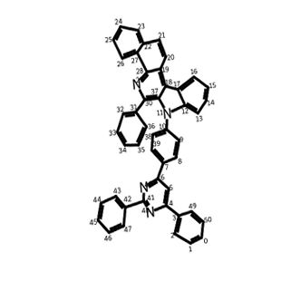 c1ccc(-c2cc(-c3ccc(-n4c5ccccc5c5c6ccc7ccccc7c6nc(-c6ccccc6)c54)cc3)nc(-c3ccccc3)n2)cc1